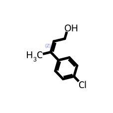 C/C(=C/CO)c1ccc(Cl)cc1